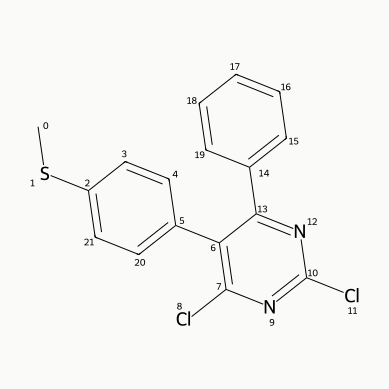 CSc1ccc(-c2c(Cl)nc(Cl)nc2-c2ccccc2)cc1